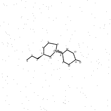 CCC[C@H]1CCC[N+](=C2CCC(C)CC2)C1